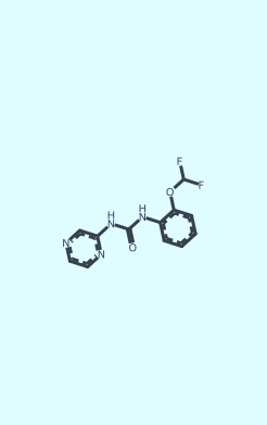 O=C(Nc1cnccn1)Nc1ccccc1OC(F)F